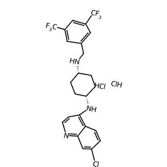 Cl.Cl.FC(F)(F)c1cc(CN[C@H]2CC[C@@H](Nc3ccnc4cc(Cl)ccc34)CC2)cc(C(F)(F)F)c1